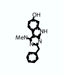 CNc1nc(Cc2ccccc2)nc2[nH]c3cc(O)ccc3c12